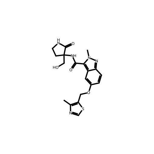 Cc1ncsc1COc1ccc2nn(C)c(C(=O)NC3(CO)CCNC3=O)c2c1